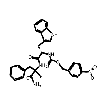 CC(Cc1ccccc1)(NC(=O)[C@H](Cc1c[nH]c2ccccc12)NC(=O)OCc1ccc([N+](=O)[O-])cc1)C(N)=O